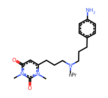 CCCN(CCCc1ccc(N)cc1)CCCc1cc(=O)n(C)c(=O)n1C